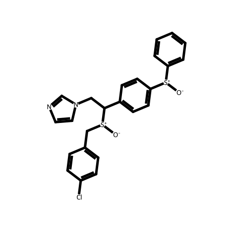 [O-][S+](c1ccccc1)c1ccc(C(Cn2ccnc2)[S+]([O-])Cc2ccc(Cl)cc2)cc1